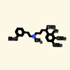 COc1cccc(CCN(C)CCCC(C=O)c2ccc(OC)c(OC)c2C(C)C)c1